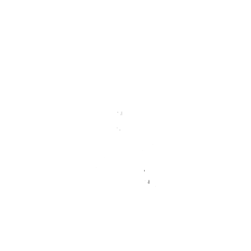 NC(=O)c1cccc(Cc2cc(-c3cccs3)[nH]n2)c1OC(F)(F)F